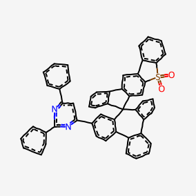 O=S1(=O)c2ccccc2-c2cc3c(cc21)C1(c2ccccc2-c2ccccc2-c2ccc(-c4cc(-c5ccccc5)nc(-c5ccccc5)n4)cc21)c1ccccc1-3